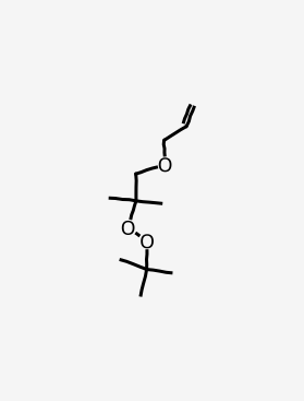 C=CCOCC(C)(C)OOC(C)(C)C